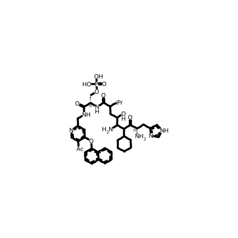 CC(=O)c1cnc(CNC(=O)[C@H](COP(=O)(O)O)NC(=O)C(CC(O)C(N)C(C(=O)[C@@H](N)Cc2c[nH]cn2)C2CCCCC2)C(C)C)cc1Oc1cccc2ccccc12